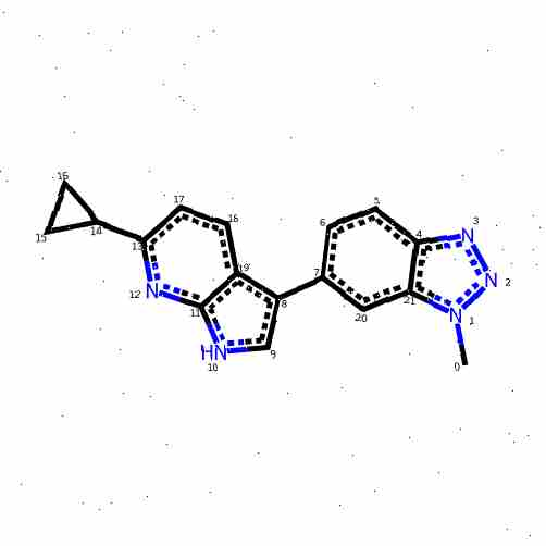 Cn1nnc2ccc(-c3c[nH]c4nc(C5CC5)ccc34)cc21